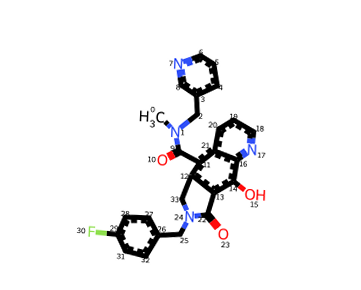 CN(Cc1cccnc1)C(=O)c1c2c(c(O)c3ncccc13)C(=O)N(Cc1ccc(F)cc1)C2